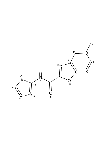 Cc1ccc2oc(C(=O)Nc3nccs3)cc2c1